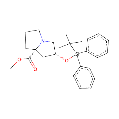 COC(=O)[C@]12CCCN1C[C@H](O[Si](c1ccccc1)(c1ccccc1)C(C)(C)C)C2